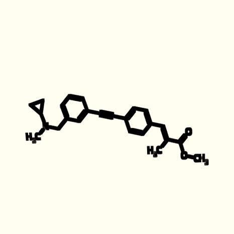 COC(=O)/C(C)=C/c1ccc(C#Cc2cccc(CN(C)C3CC3)c2)cc1